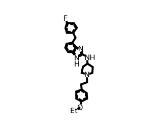 CCOc1ccc(CCN2CCC(Nc3nc4c(Cc5ccc(F)cc5)cccc4[nH]3)CC2)cc1